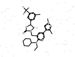 CCN(c1ncc(-c2cn(C)nc2C)cc1CN1C(=O)OC(c2cc(C)cc(C(F)(F)F)c2)[C@@H]1C)C1CCCCC1